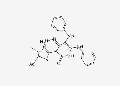 CC(=O)c1sc(C2C(=O)NC(Nc3ccccc3)=C(Nc3ccccc3)C2=NN)nc1C